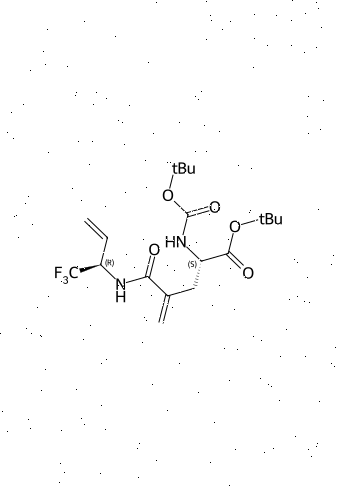 C=C[C@@H](NC(=O)C(=C)C[C@H](NC(=O)OC(C)(C)C)C(=O)OC(C)(C)C)C(F)(F)F